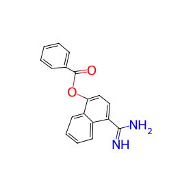 N=C(N)c1ccc(OC(=O)c2ccccc2)c2ccccc12